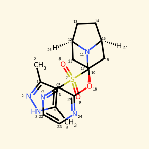 Cc1n[nH]c(C)c1S(=O)(=O)CN1[C@@H]2CC[C@H]1C[C@@H](Oc1cnccn1)C2